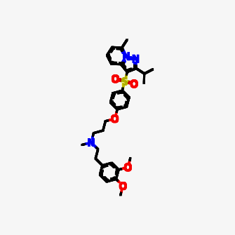 COc1ccc(CCN(C)CCCOc2ccc(S(=O)(=O)c3c(C(C)C)nn4c(C)cccc34)cc2)cc1OC